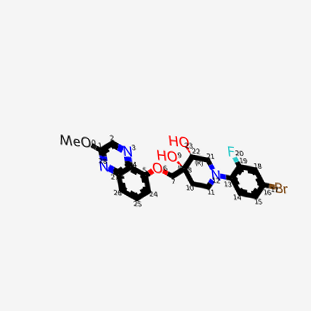 COc1cnc2c(OC[C@]3(O)CCN(c4ccc(Br)cc4F)C[C@H]3O)cccc2n1